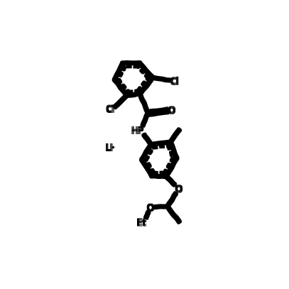 CCOC(C)Oc1ccc(PC(=O)c2c(Cl)cccc2Cl)c(C)c1.[Li]